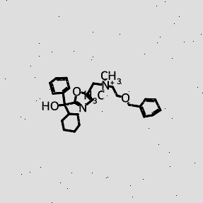 C[N+](C)(CCOCc1ccccc1)Cc1cnc(C(O)(c2ccccc2)C2CCCCC2)o1